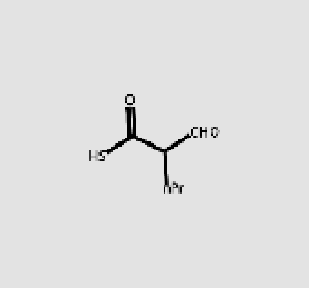 CCCC(C=O)C(=O)S